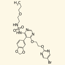 CCCOCCNS(=O)(=O)Nc1ncnc(OCCOc2ncc(Br)cn2)c1-c1ccc2c(c1)OCO2